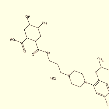 CC(C)Oc1ccc(F)cc1N1CCN(CCCNC(=O)C2CC(O)C(O)CC2C(=O)O)CC1.Cl